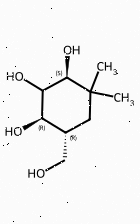 CC1(C)C[C@H](CO)[C@@H](O)C(O)[C@H]1O